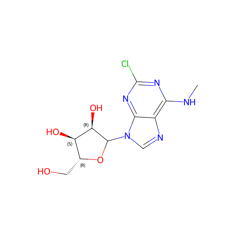 CNc1nc(Cl)nc2c1ncn2C1O[C@H](CO)[C@@H](O)[C@H]1O